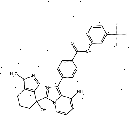 Cn1ncc2c1CCCC2(O)c1nc(-c2ccc(C(=O)Nc3cc(C(F)(F)F)ccn3)cc2)c2c(N)nccn12